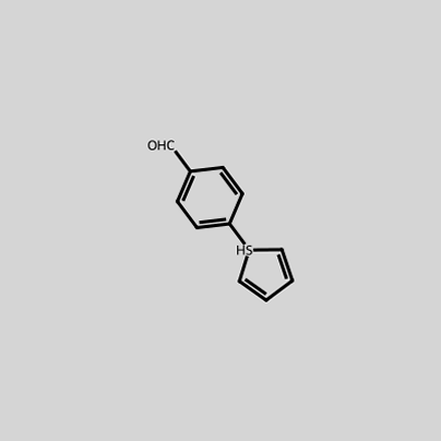 O=Cc1ccc([SH]2C=CC=C2)cc1